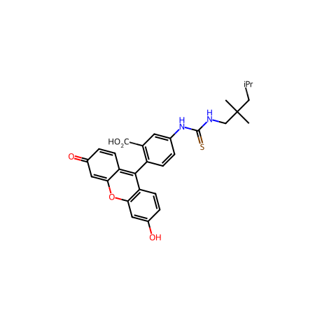 CC(C)CC(C)(C)CNC(=S)Nc1ccc(-c2c3ccc(=O)cc-3oc3cc(O)ccc23)c(C(=O)O)c1